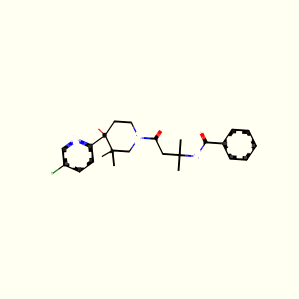 CC(C)(CC(=O)N1CCC(O)(c2ccc(Cl)cn2)C(C)(C)C1)NC(=O)c1ccccc1